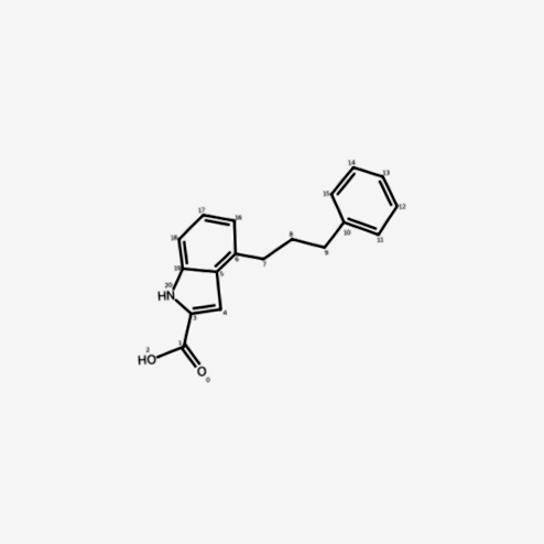 O=C(O)c1cc2c(CCCc3ccccc3)cccc2[nH]1